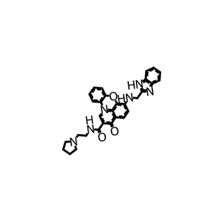 O=C(NCCN1CCCC1)c1cn2c3c(c(NCc4nc5ccccc5[nH]4)ccc3c1=O)Oc1ccccc1-2